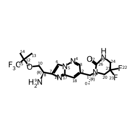 C[C@H](c1cnn2cc([C@@H](N)COC(C)(C)C(F)(F)F)nc2c1)N1CC(F)(F)CNC1=O